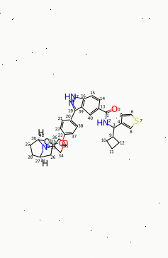 O=C(NC(c1ccsc1)C1CCC1)c1ccc2[nH]nc(-c3ccc(OC4C[C@H]5CC[C@@H](C4)N5C4COC4)cc3)c2c1